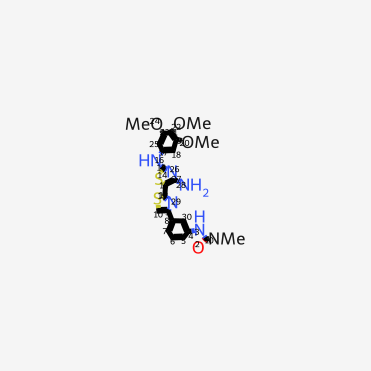 CNC(=O)Nc1cccc(-c2csc(-c3sc(Nc4cc(OC)c(OC)c(OC)c4)nc3N)n2)c1